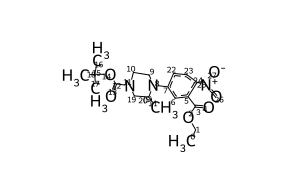 CCOC(=O)c1cc(N2CCN(C(=O)OC(C)(C)C)C[C@@H]2C)ccc1[N+](=O)[O-]